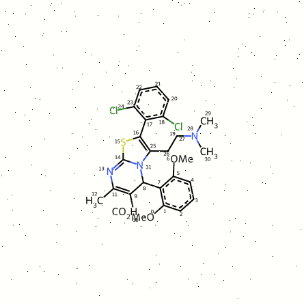 COc1cccc(OC)c1C1C(C(=O)O)=C(C)N=C2SC(c3c(Cl)cccc3Cl)=C(CCN(C)C)N21